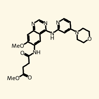 COC(=O)CCC(=O)Nc1cc2c(Nc3cc(N4CCOCC4)ccn3)ncnc2cc1OC